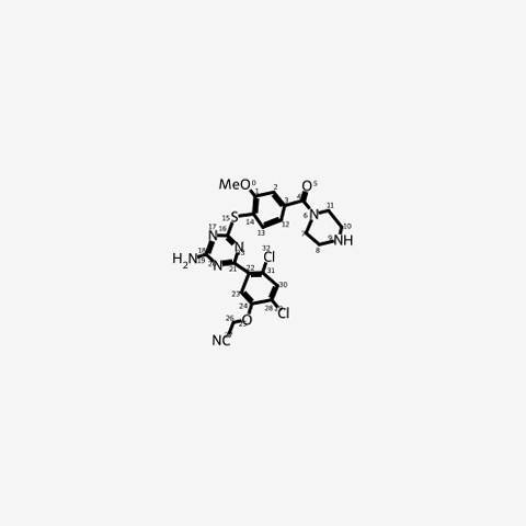 COc1cc(C(=O)N2CCNCC2)ccc1Sc1nc(N)nc(-c2cc(OCC#N)c(Cl)cc2Cl)n1